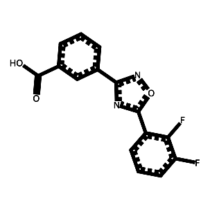 O=C(O)c1cccc(-c2noc(-c3cccc(F)c3F)n2)c1